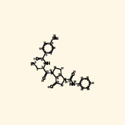 CC(C)CC(NC(=O)c1ccc(C(C)(C)C)cc1)C(=O)N1CCC2C1C(=O)CN2C(=O)Nc1ccccc1